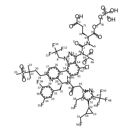 CN(C(=O)N(c1nn(CC(F)(F)F)c2c(-c3ccc(CCC(C)(C)S(C)(=O)=O)nc3[C@H](Cc3cc(F)cc(F)c3)NC(=O)Cn3nc(C(F)(F)F)c([C@H]4CC4CF)c3CF)ccc(Cl)c12)S(C)(=O)=O)[C@@H](CCC(=O)O)C(=O)OCOP(=O)(O)O